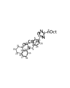 CCCCCCCCc1noc(-c2ccc(CN(C(=O)C(=O)O)c3cccc4c3CCCC4)cc2)n1